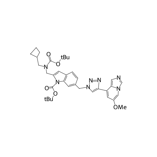 COc1cc(-c2cn(Cc3ccc4cc(CN(CC5CCC5)C(=O)OC(C)(C)C)n(C(=O)OC(C)(C)C)c4c3)nn2)c2cncn2c1